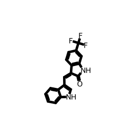 O=C1Nc2cc(C(F)(F)F)ccc2C1=Cc1c[nH]c2ccccc12